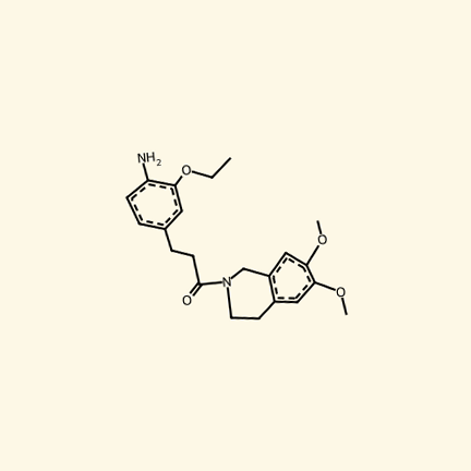 CCOc1cc(CCC(=O)N2CCc3cc(OC)c(OC)cc3C2)ccc1N